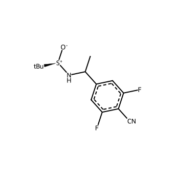 CC(N[S@+]([O-])C(C)(C)C)c1cc(F)c(C#N)c(F)c1